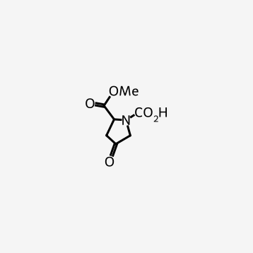 COC(=O)C1CC(=O)CN1C(=O)O